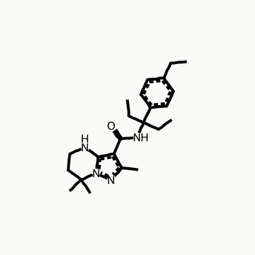 CCc1ccc(C(CC)(CC)NC(=O)c2c(C)nn3c2NCCC3(C)C)cc1